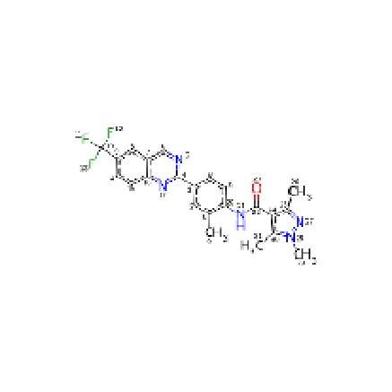 Cc1cc(-c2ncc3cc(C(F)(F)F)ccc3n2)ccc1NC(=O)c1c(C)nn(C)c1C